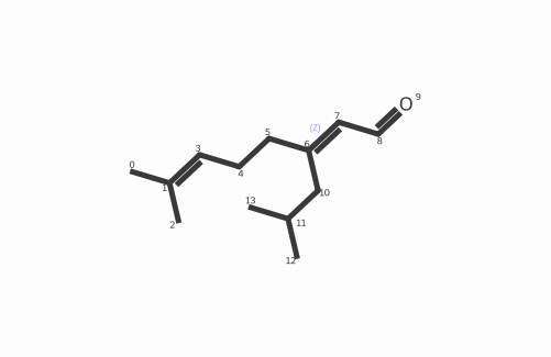 CC(C)=CCC/C(=C/C=O)CC(C)C